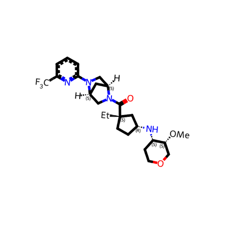 CC[C@]1(C(=O)N2C[C@@H]3C[C@H]2CN3c2cccc(C(F)(F)F)n2)CC[C@@H](N[C@H]2CCOC[C@H]2OC)C1